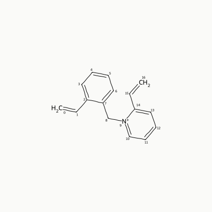 C=Cc1ccccc1C[n+]1ccccc1C=C